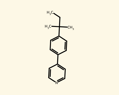 CCC(C)(C)c1ccc(-c2ccncc2)cc1